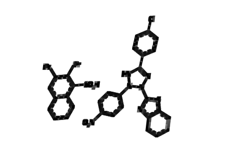 CC(C)c1cc2ccccc2c(S(=O)(=O)O)c1C(C)C.O=[N+]([O-])c1ccc(N2NC(c3ccc(Cl)cc3)=NN2c2nc3ccccc3s2)cc1